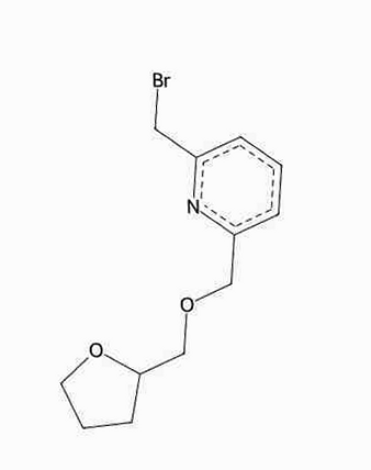 BrCc1cccc(COCC2CCCO2)n1